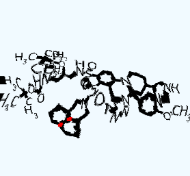 COc1ccc(Cn2nnnc2-c2c(N3CCC(c4c[nH]cn4)CC3)ccc(S(=O)(=O)NC[C@@H](CNC(=O)OC(C)(C)C)O[Si](C)(C)C(C)(C)C)c2S(=O)(=O)N(Cc2ccccc2)Cc2ccccc2)cc1